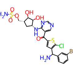 NC(c1cccc(Br)c1)c1cc(C(=O)c2cncnc2N[C@@H]2C[C@H](COS(N)(=O)=O)[C@@H](O)[C@H]2O)sc1Cl